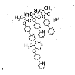 C=C(C)C(=O)Oc1ccc(-c2ccccn2)cc1.C=C(C)C(=O)Oc1ccc(-c2ccccn2)cc1.C=C(C)C(=O)Oc1ccc(-c2ccccn2)cc1.C=C(C)C(=O)Oc1ccc(-c2ccccn2)cc1.[Ir+3].[Ir+3]